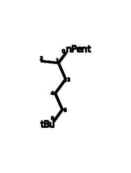 CCCCCC(C)[CH]CCC(C)(C)C